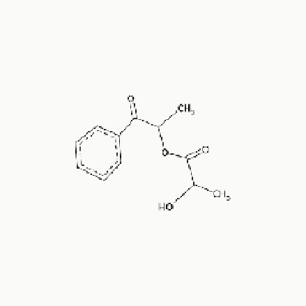 CC(O)C(=O)OC(C)C(=O)c1ccccc1